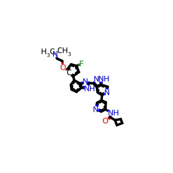 CN(C)CCOc1cc(F)cc(-c2cccc3[nH]c(-c4n[nH]c5cnc(-c6cncc(NC(=O)C7CCC7)c6)cc45)nc23)c1